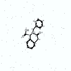 O=C(O)[C@@H]1c2ccccc2CC(=O)N1Cc1ccccn1